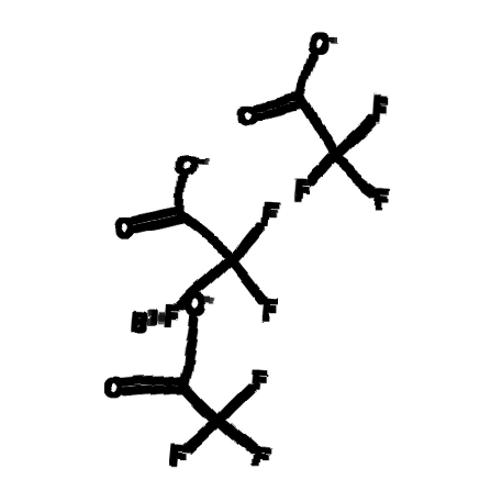 O=C([O-])C(F)(F)F.O=C([O-])C(F)(F)F.O=C([O-])C(F)(F)F.[B+3]